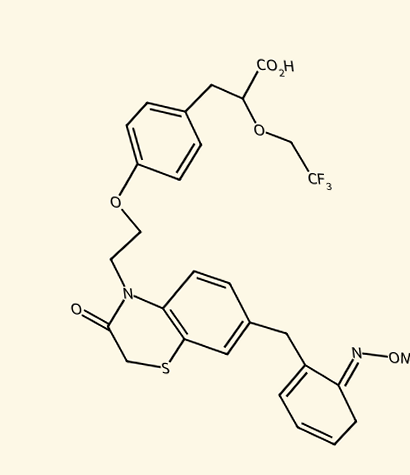 CON=C1CC=CC=C1Cc1ccc2c(c1)SCC(=O)N2CCOc1ccc(CC(OCC(F)(F)F)C(=O)O)cc1